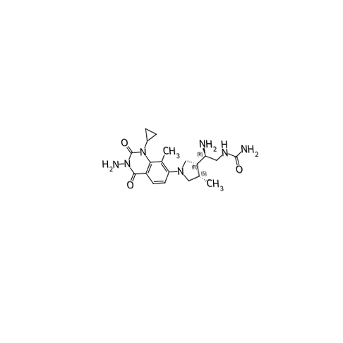 Cc1c(N2C[C@H]([C@@H](N)CNC(N)=O)[C@H](C)C2)ccc2c(=O)n(N)c(=O)n(C3CC3)c12